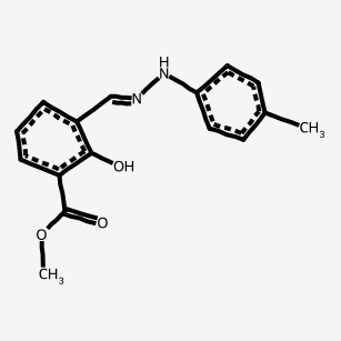 COC(=O)c1cccc(C=NNc2ccc(C)cc2)c1O